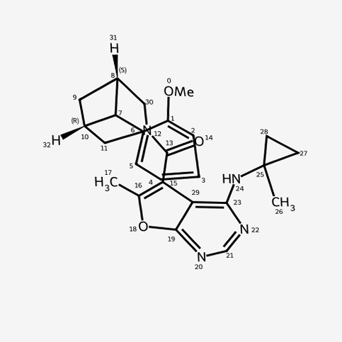 COc1ccccc1C1[C@@H]2C[C@H]1CN(C(=O)c1c(C)oc3ncnc(NC4(C)CC4)c13)C2